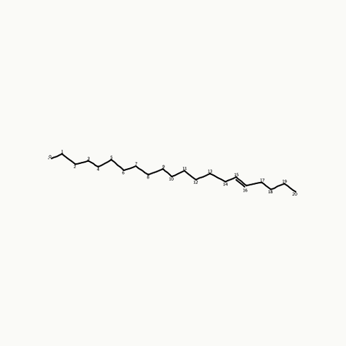 [CH2]CCCCCCCCCCCCCCC=CCCCC